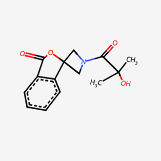 CC(C)(O)C(=O)N1CC2(C1)OC(=O)c1ccccc12